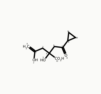 C=C(O)CC(O)(CC(=O)C1CC1)C(=O)O